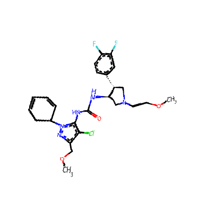 COCCN1C[C@@H](NC(=O)Nc2c(Cl)c(COC)nn2C2C=CC=CC2)[C@H](c2ccc(F)c(F)c2)C1